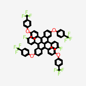 Fc1ccc(-c2c3cc(Oc4ccc(C(F)(F)F)cc4)ccc3c(-c3ccc(Oc4ccc(C(F)(F)F)cc4)cc3)c3c(-c4ccc(F)cc4)c4cc(Oc5ccc(C(F)(F)F)cc5)ccc4c(-c4ccc(Oc5ccc(C(F)(F)F)cc5)cc4)c23)cc1